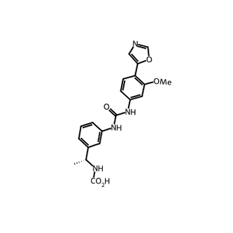 COc1cc(NC(=O)Nc2cccc([C@@H](C)NC(=O)O)c2)ccc1-c1cnco1